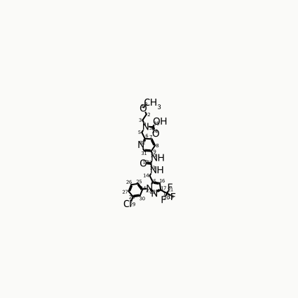 COCCN(Cc1ccc(NC(=O)NCc2cc(C(F)(F)F)nn2-c2cccc(Cl)c2)cn1)C(=O)O